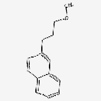 COCCCc1ccc2ccccc2c1